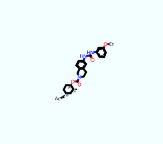 CCOc1cccc(NC(=O)Nc2ccc3c(c2)CCN(C(=O)O[C@@H]2CC[C@@H](CC(C)=O)C[C@@H]2C)C3)c1